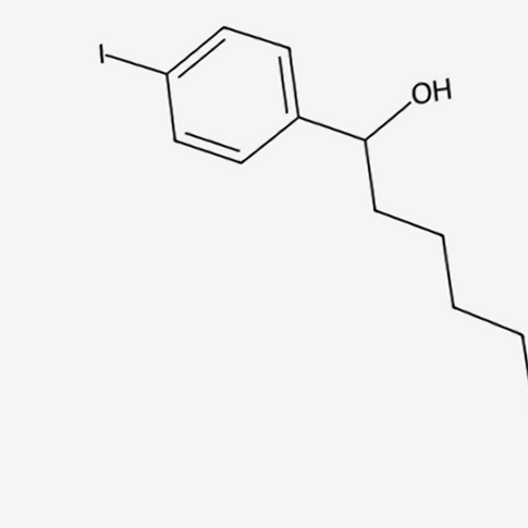 CCCCCC(O)c1ccc(I)cc1